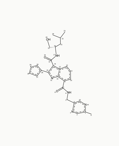 Cc1cnc(CNC(=O)c2cccn3c(C(=O)N[C@H](CO)CC(C)C)c(-c4ccsc4)nc23)cn1